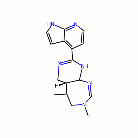 CC1CN(C)C=NC2NC(c3ccnc4[nH]ccc34)=NC[C@@H]12